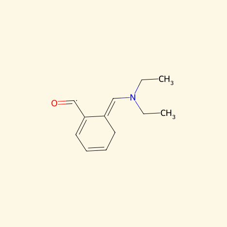 CCN(C=C1CC=CC=C1[C]=O)CC